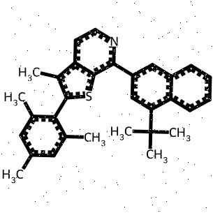 Cc1cc(C)c(-c2sc3c(-c4cc(C(C)(C)C)c5ccccc5c4)nccc3c2C)c(C)c1